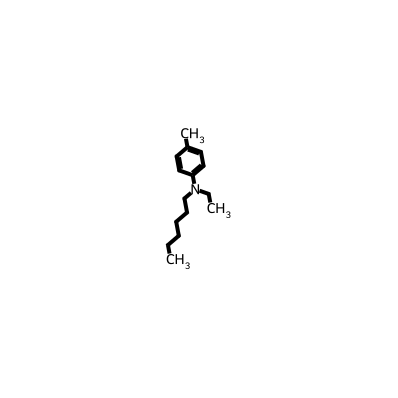 CCCCCCN(CC)c1ccc(C)cc1